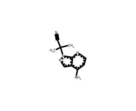 CC(C)(C#N)n1ncc2c(N)ccnc21